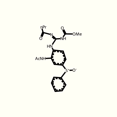 CCCC(=O)/N=C(/NC(=O)OC)Nc1ccc([S+]([O-])c2ccccc2)cc1NC(C)=O